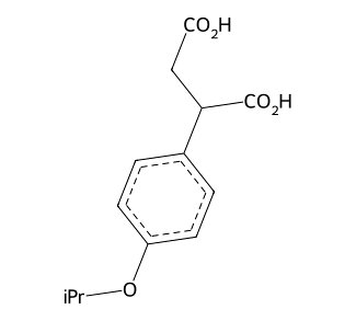 CC(C)Oc1ccc(C(CC(=O)O)C(=O)O)cc1